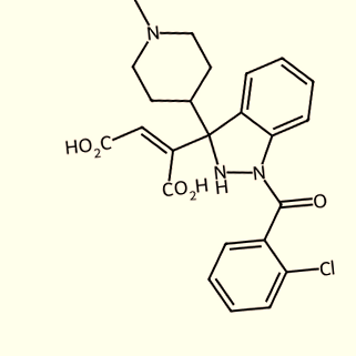 CN1CCC(C2(C(=CC(=O)O)C(=O)O)NN(C(=O)c3ccccc3Cl)c3ccccc32)CC1